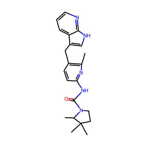 Cc1nc(NC(=O)N2CCC(C)(C)C2C)ccc1Cc1c[nH]c2ncccc12